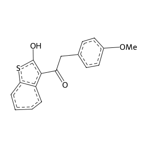 COc1ccc(CC(=O)c2c(O)sc3ccccc23)cc1